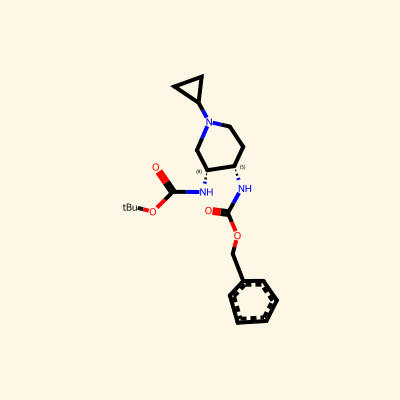 CC(C)(C)OC(=O)N[C@@H]1CN(C2CC2)CC[C@@H]1NC(=O)OCc1ccccc1